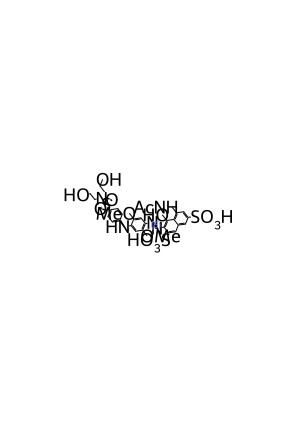 COc1cc(Nc2ccc(S(=O)(=O)N(CCO)CCO)cc2)c(OC)cc1/N=N/c1c(S(=O)(=O)O)cc2cc(S(=O)(=O)O)cc(NC(C)=O)c2c1O